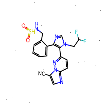 N#Cc1cnc2ccc(-c3c(-c4ccccc4CN[SH](=O)=O)ncn3CC(F)F)nn12